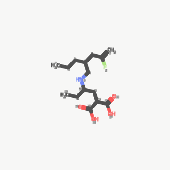 C=C(F)CC(CCC)CNC(CC)CC(C(=O)O)C(=O)O